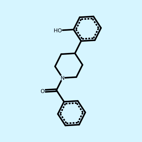 O=C(c1ccccc1)N1CCC(c2ccccc2O)CC1